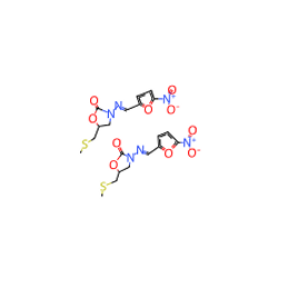 CSCC1CN(/N=C/c2ccc([N+](=O)[O-])o2)C(=O)O1.CSCC1CN(/N=C/c2ccc([N+](=O)[O-])o2)C(=O)O1